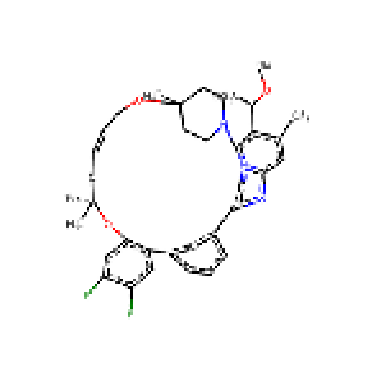 Cc1cc2nc3cn2c(c1[C@H](OC(C)(C)C)C(=O)O)N1CCC(C)(CC1)OC/C=C\C[C@H](C)Oc1cc(F)c(F)cc1-c1cccc-3c1